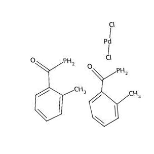 Cc1ccccc1C(=O)P.Cc1ccccc1C(=O)P.[Cl][Pd][Cl]